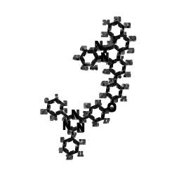 c1ccc(-c2nc(-c3ccccc3)nc(-c3ccc(Oc4ccc(-c5ccc6c7ccc8ccccc8c7c7nc8ccccc8n7c6c5)cc4)cc3)n2)cc1